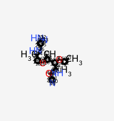 Cc1cccc(OC2CC(c3cc(C)cc(OC4CCCC(C(C)CNCc5ccc6[nH]cnc6c5)C4)c3)CC(C(C)CNC(=O)c3ccncc3)C2)c1